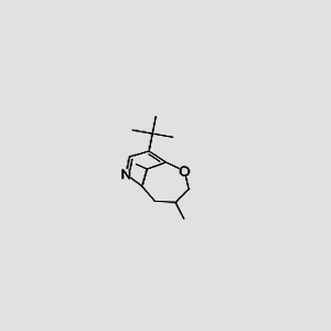 CC1COC2=C(C(C)(C)C)C=NC(C1)C2C